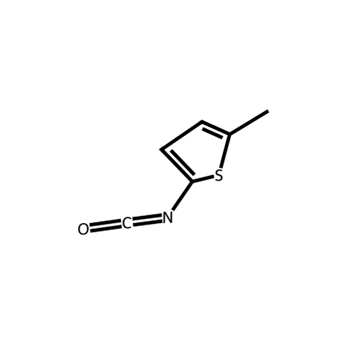 Cc1ccc(N=C=O)s1